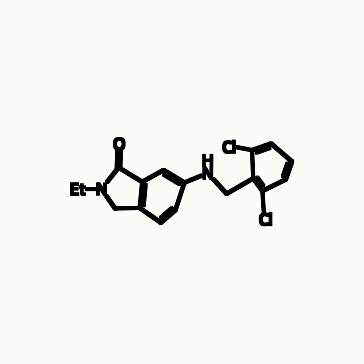 CCN1Cc2ccc(NCc3c(Cl)cccc3Cl)cc2C1=O